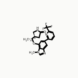 C[C@@H](Oc1cc(-c2cccc(C(F)(F)F)n2)cc2ncn(C)c12)[C@H]1CNC(=O)C1